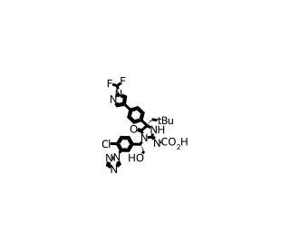 CC(C)(C)C[C@]1(c2ccc(-c3cnn(C(F)F)c3)cc2)N/C(=N\C(=O)O)N([C@H](CO)c2ccc(Cl)c(-n3cncn3)c2)C1=O